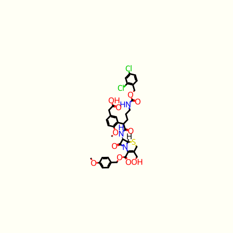 COc1ccc(COC(=O)C2=C(CO)CS[C@H]3[C@@H](NC(=O)C(CCCNC(=O)OCc4ccc(Cl)cc4Cl)c4cc(CC(=O)O)ccc4OC)C(=O)N23)cc1